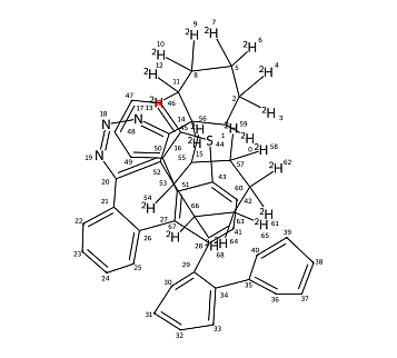 [2H]C1C([2H])([2H])C([2H])([2H])C([2H])([2H])C([2H])([2H])C1([2H])c1nnnc(-c2ccccc2-c2c(-c3ccccc3-c3ccccc3)ccc3sc4ccccc4c23)c1C1([2H])C([2H])C([2H])([2H])C([2H])([2H])C([2H])([2H])C1([2H])[2H]